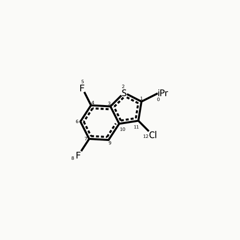 CC(C)c1sc2c(F)cc(F)cc2c1Cl